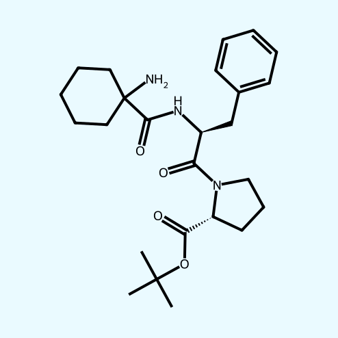 CC(C)(C)OC(=O)[C@H]1CCCN1C(=O)[C@H](Cc1ccccc1)NC(=O)C1(N)CCCCC1